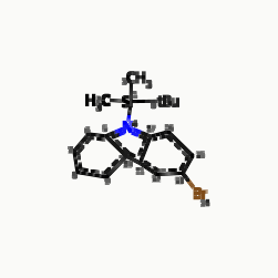 CC(C)(C)[Si](C)(C)n1c2ccccc2c2cc(Br)ccc21